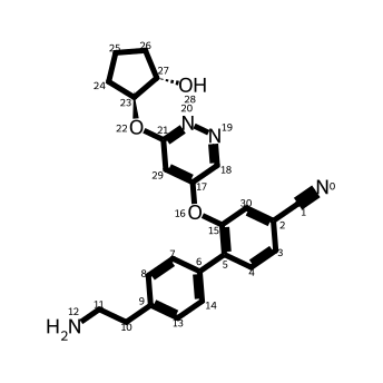 N#Cc1ccc(-c2ccc(CCN)cc2)c(Oc2cnnc(O[C@H]3CCC[C@@H]3O)c2)c1